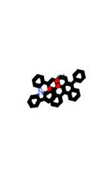 N#Cc1cc(-c2ccccc2-c2c3ccccc3c(-c3ccccc3)c3ccccc23)cc(-c2ccccc2-n2c3ccccc3c3ccccc32)c1